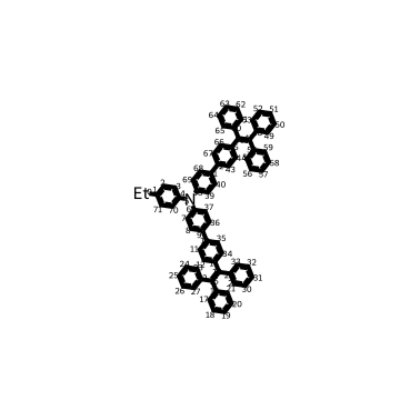 CCc1ccc(N(c2ccc(-c3ccc(C(=C(c4ccccc4)c4ccccc4)c4ccccc4)cc3)cc2)c2ccc(-c3ccc(C(=C(c4ccccc4)c4ccccc4)c4ccccc4)cc3)cc2)cc1